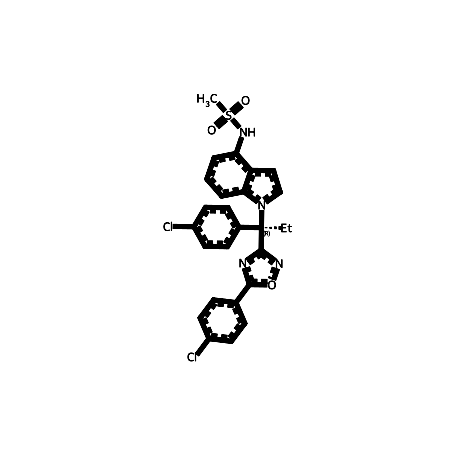 CC[C@@](c1ccc(Cl)cc1)(c1noc(-c2ccc(Cl)cc2)n1)n1ccc2c(NS(C)(=O)=O)cccc21